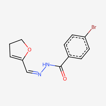 O=C(N/N=C\C1=CCCO1)c1ccc(Br)cc1